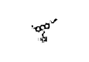 C#CCOc1ccc2c(c1)Cc1cc(N=C)ccc1N2CCc1nnn[nH]1